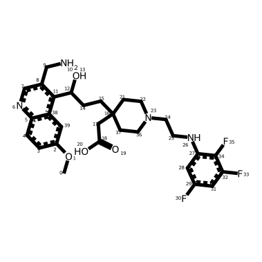 COc1ccc2ncc(CN)c(C(O)CCC3(CC(=O)O)CCN(CCNc4cc(F)cc(F)c4F)CC3)c2c1